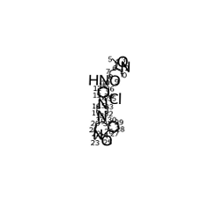 Cc1noc(C)c1CC(=O)Nc1ccc(N2CCN(C3C=CN(C)C(=O)c4ccccc43)CC2)c(Cl)c1